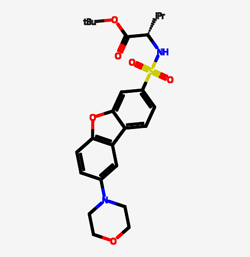 CC(C)[C@H](NS(=O)(=O)c1ccc2c(c1)oc1ccc(N3CCOCC3)cc12)C(=O)OC(C)(C)C